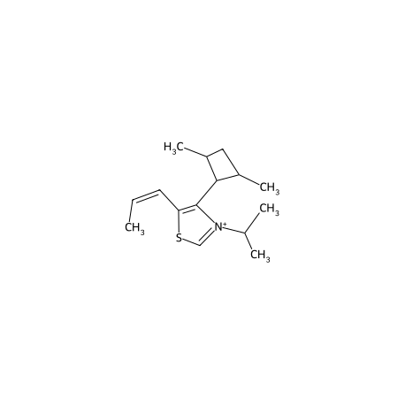 C/C=C\c1sc[n+](C(C)C)c1C1C(C)CC1C